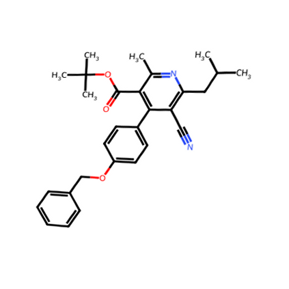 Cc1nc(CC(C)C)c(C#N)c(-c2ccc(OCc3ccccc3)cc2)c1C(=O)OC(C)(C)C